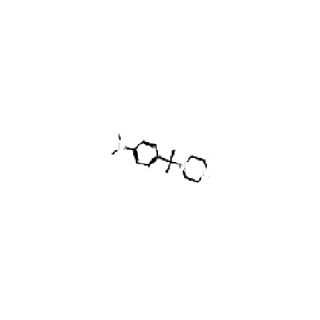 CN(C)c1ccc(C(C)(C)N2CCOCC2)cc1